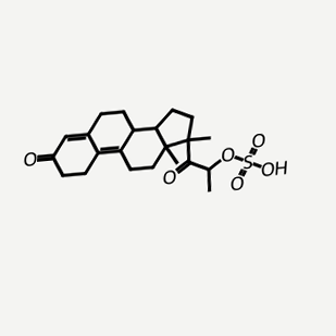 CC(OS(=O)(=O)O)C(=O)C1(C)CCC2C3CCC4=CC(=O)CCC4=C3CCC21C